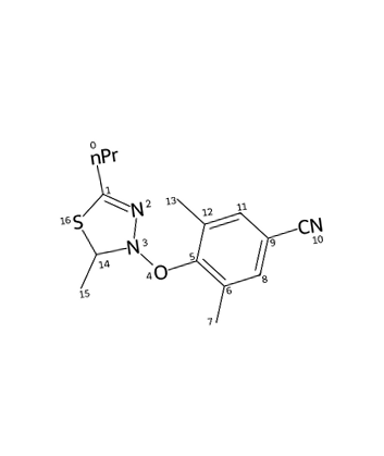 CCCC1=NN(Oc2c(C)cc(C#N)cc2C)C(C)S1